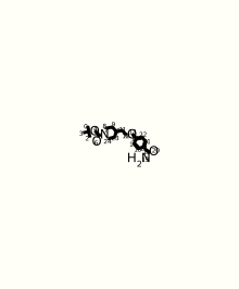 CC(C)(C)OC(=O)N1CCC(CCOc2ccc(C(N)=O)cc2)CC1